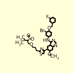 COc1cc2ncnc(Nc3ccc(OCc4cccc(F)c4)c(Br)c3)c2cc1-c1csc(CCCOCC(C(C)C)=S(=O)=O)n1